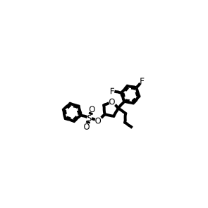 CCCC1(c2ccc(F)cc2F)CC(OS(=O)(=O)c2ccccc2)CO1